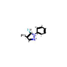 CC(C)c1cnn(-c2ccccc2)c1F